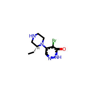 CC[C@@H]1CNCCN1c1cn[nH]c(=O)c1Br